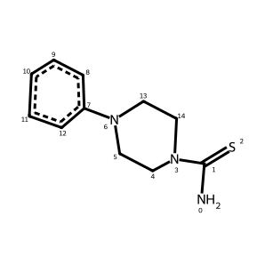 NC(=S)N1CCN(c2ccccc2)CC1